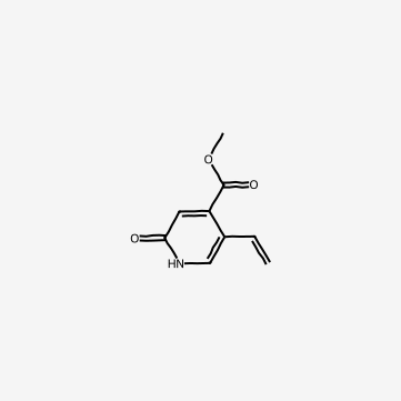 C=Cc1c[nH]c(=O)cc1C(=O)OC